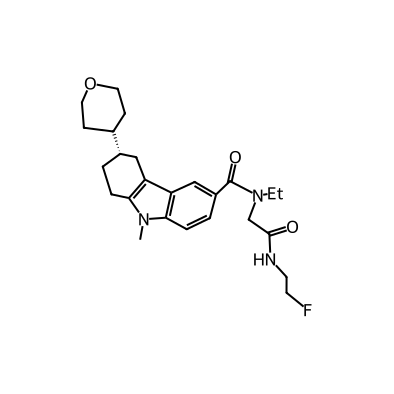 CCN(CC(=O)NCCF)C(=O)c1ccc2c(c1)c1c(n2C)CC[C@H](C2CCOCC2)C1